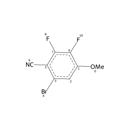 COc1cc(Br)c(C#N)c(F)c1F